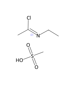 CC/N=C(/C)Cl.CS(=O)(=O)O